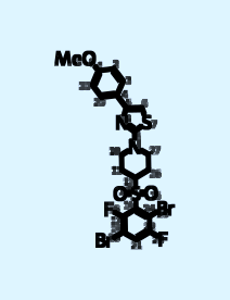 COc1ccc(-c2csc(N3CCC(S(=O)(=O)c4c(F)c(Br)cc(F)c4Br)CC3)n2)cc1